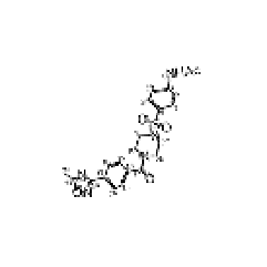 CC(=O)Nc1ccc(S(=O)(=O)N2CCN(C(=O)c3ccc(-c4noc(C)n4)cc3)CC2)cc1